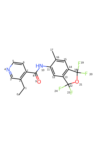 CCc1cnccc1C(=O)Nc1cc2c(cc1C)C(F)(F)OC2(F)F